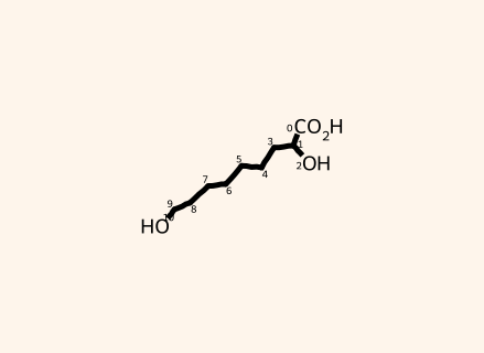 O=C(O)C(O)CCCCCCCO